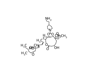 CC[C@H](O)[C@@H](C)[C@H]1O[C@@H]1CC(C)(O)/C=C/C=C(\C)[C@H]1OC(=O)C[C@H](O)CC[C@@](C)(OC(C)=O)[C@@H](OC(=O)N2CCC(CCN)CC2)/C=C/[C@@H]1C